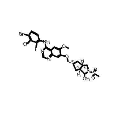 COc1cc2c(Nc3ccc(Br)c(Cl)c3F)ncnc2cc1OC[C@@H]1C[C@H]2CN(S(C)(=O)=O)C(O)[C@H]2C1